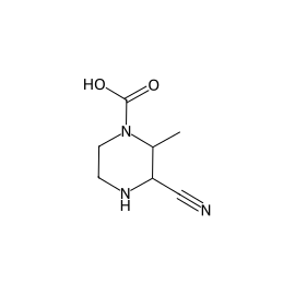 CC1C(C#N)NCCN1C(=O)O